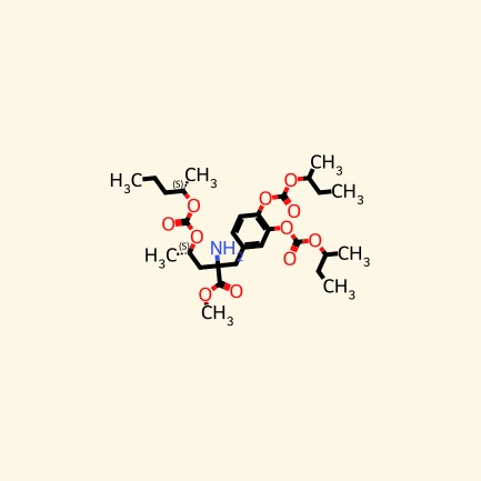 CCC[C@H](C)OC(=O)O[C@@H](C)CC(N)(Cc1ccc(OC(=O)OC(C)CC)c(OC(=O)OC(C)CC)c1)C(=O)OC